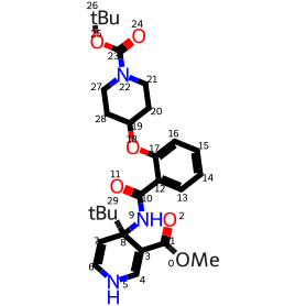 COC(=O)C1=CNC=CC1(NC(=O)c1ccccc1OC1CCN(C(=O)OC(C)(C)C)CC1)C(C)(C)C